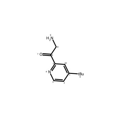 CC(C)(C)c1ccnc(C(=O)CN)c1